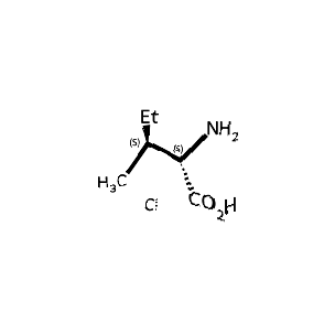 CC[C@H](C)[C@H](N)C(=O)O.[C]